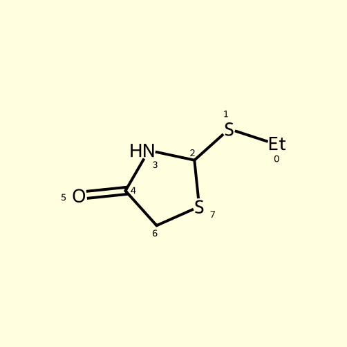 CCSC1NC(=O)CS1